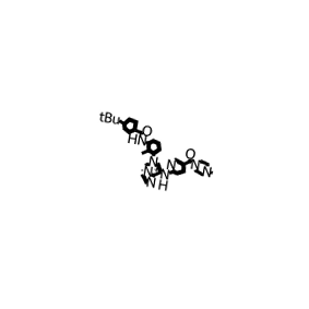 Cc1c(NC(=O)c2ccc(C(C)(C)C)cc2)cccc1N1C=C(Nc2ccc(C(=O)N3CCN(C)CC3)cn2)C2=NC=C[N+]2C1